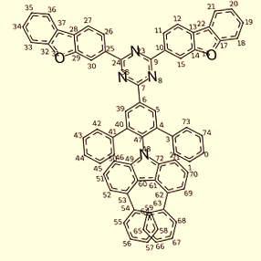 c1ccc(-c2cc(-c3nc(-c4ccc5c(c4)oc4ccccc45)nc(-c4ccc5c(c4)oc4ccccc45)n3)cc(-c3ccccc3)c2-n2c3cccc(-c4ccccc4)c3c3c(-c4ccccc4)cccc32)cc1